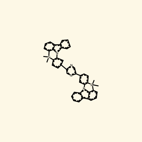 C[Si]1(C)c2ccc(-c3cnc(-c4ccc5c(c4)-n4c6ccccc6c6cccc(c64)[Si]5(C)C)cn3)cc2-n2c3ccccc3c3cccc1c32